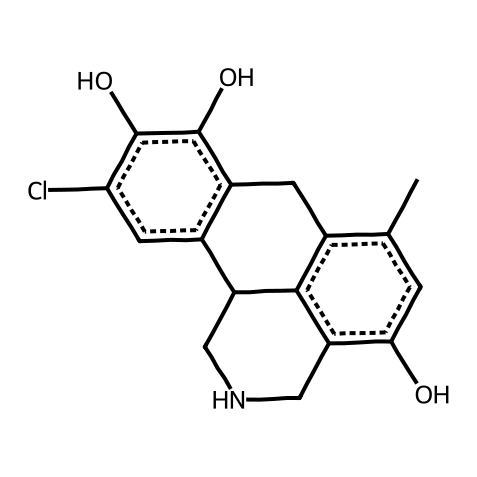 Cc1cc(O)c2c3c1Cc1c(cc(Cl)c(O)c1O)C3CNC2